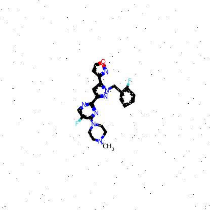 CN1CCN(c2nc(-c3cc(-c4ccon4)n(Cc4ccccc4F)n3)ncc2F)CC1